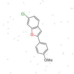 COc1ccc(-c2cc3ccc(Cl)cc3o2)cc1